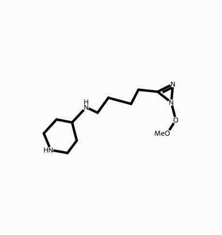 COON1N=C1CCCCNC1CCNCC1